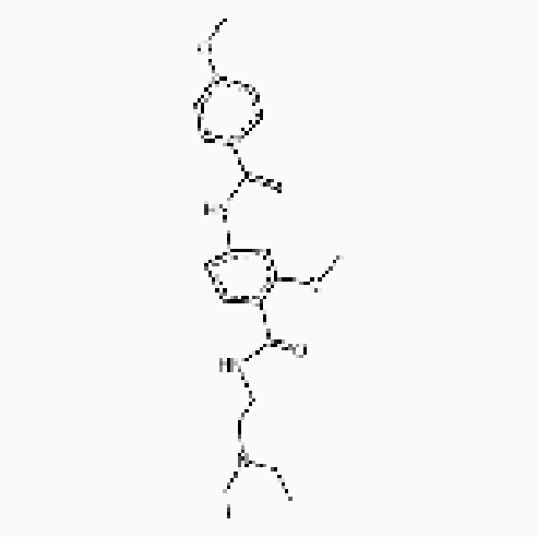 CCN(CC)CCNC(=O)c1ccc(NC(=O)c2ccc(OC)cc2)cc1OC